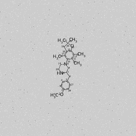 COc1ccc(CC2CN(c3c(C)c(C)c4c(c3C)CC(C)(C)O4)CCN2)cc1